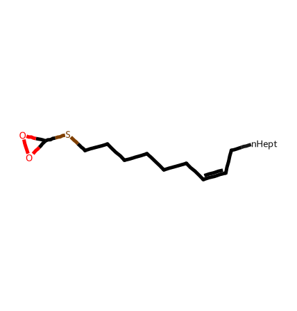 CCCCCCCC/C=C\CCCCCCSC1OO1